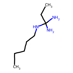 CCCCCNC(N)(N)CC